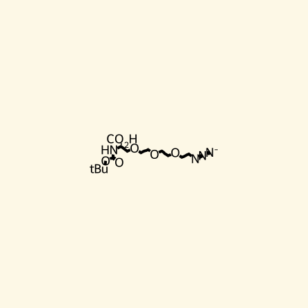 CC(C)(C)OC(=O)N[C@@H](COCCOCCOCCN=[N+]=[N-])C(=O)O